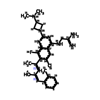 C/C(=C\C(O)=C/c1ccccc1C)c1c(Cl)cc2c(NCC(=N)N)nc(N3CC(N(C)C)C3)nc2c1F